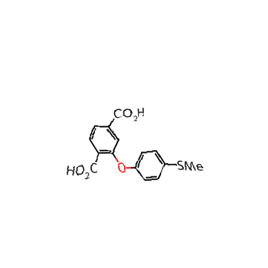 CSc1ccc(Oc2cc(C(=O)O)ccc2C(=O)O)cc1